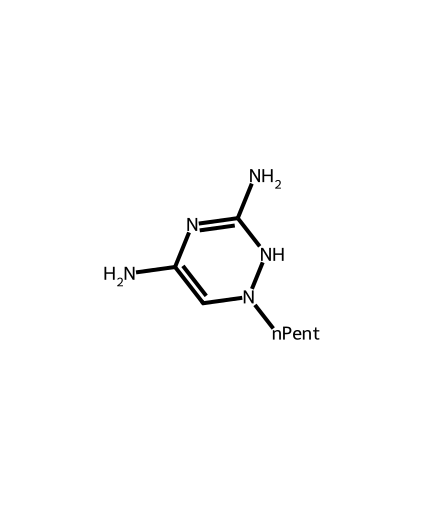 CCCCCN1C=C(N)N=C(N)N1